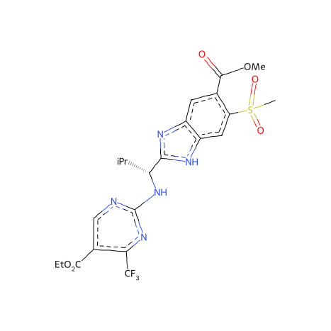 CCOC(=O)c1cnc(N[C@@H](c2nc3cc(C(=O)OC)c(S(C)(=O)=O)cc3[nH]2)C(C)C)nc1C(F)(F)F